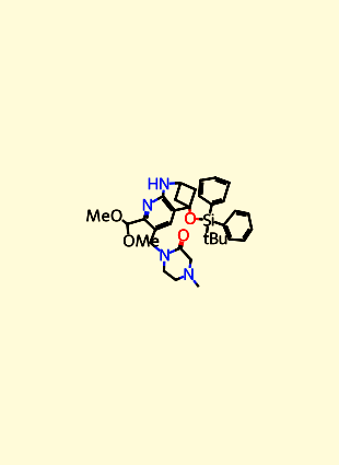 COC(OC)c1nc2c(cc1CN1CCN(C)CC1=O)C1(O[Si](c3ccccc3)(c3ccccc3)C(C)(C)C)CC(C1)N2